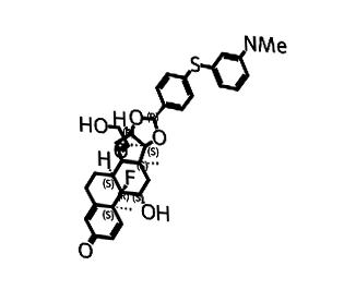 CNc1cccc(Sc2ccc([C@@H]3O[C@@H]4CC5[C@@H]6CCC7=CC(=O)C=C[C@]7(C)[C@@]6(F)[C@@H](O)C[C@]5(C)[C@]4(C(=O)CO)O3)cc2)c1